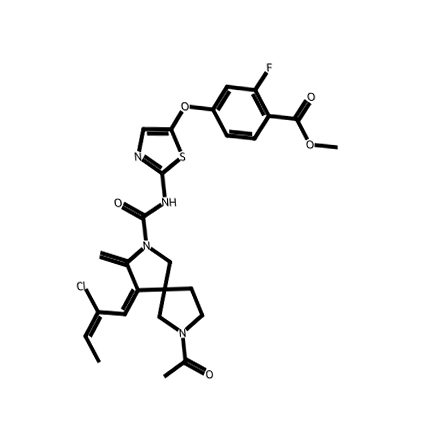 C=C1/C(=C\C(Cl)=C/C)C2(CCN(C(C)=O)C2)CN1C(=O)Nc1ncc(Oc2ccc(C(=O)OC)c(F)c2)s1